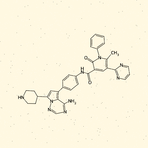 Cc1c(-c2ncccn2)cc(C(=O)Nc2ccc(-c3cc(C4CCNCC4)n4ncnc(N)c34)cc2)c(=O)n1-c1ccccc1